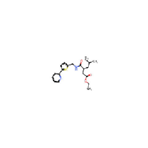 CCOC(=O)CC(CC(C)C)C(=O)NCc1ccc(-c2ccccn2)s1